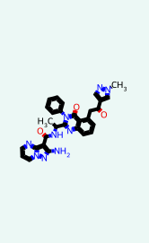 CC(NC(=O)c1c(N)nn2cccnc12)c1nc2cccc(CC(=O)c3cnn(C)c3)c2c(=O)n1-c1ccccc1